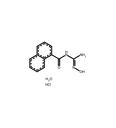 Cl.NC(=NO)NC(=O)c1cccc2ccccc12.O